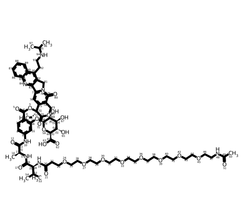 CC[C@@]1(OC(=O)c2ccc(NC(=O)[C@H](C)NC(=O)[C@@H](NC(=O)CCOCCOCCOCCOCCOCCOCCOCCOCCNC(C)=O)C(C)C)cc2O[C@@H]2O[C@H](C(=O)O)[C@@H](O)[C@H](O)[C@H]2O)C(=O)OCc2c1cc1n(c2=O)Cc2c-1nc1ccccc1c2CCNC(C)C